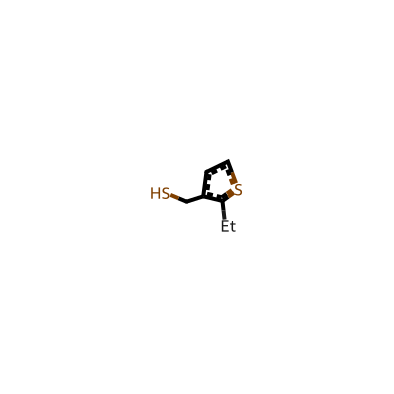 CCc1sccc1CS